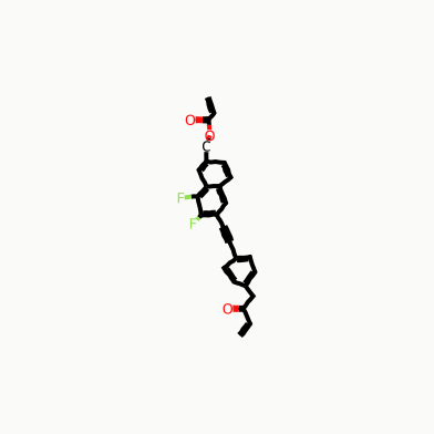 C=CC(=O)Cc1ccc(C#Cc2cc3ccc(COC(=O)C=C)cc3c(F)c2F)cc1